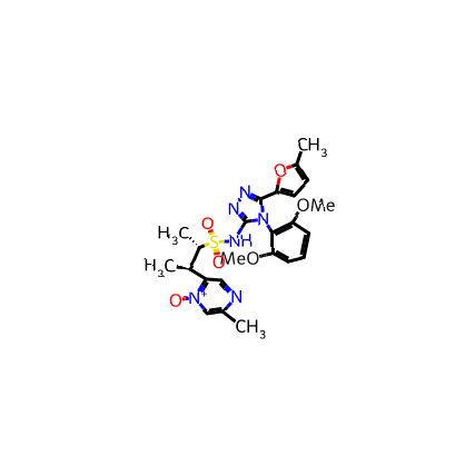 COc1cccc(OC)c1-n1c(NS(=O)(=O)[C@@H](C)[C@H](C)c2cnc(C)c[n+]2[O-])nnc1-c1ccc(C)o1